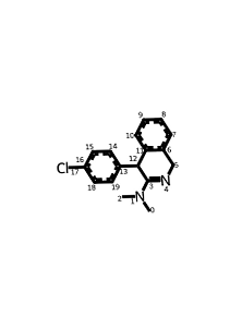 CN(C)C1=NCc2ccccc2C1c1ccc(Cl)cc1